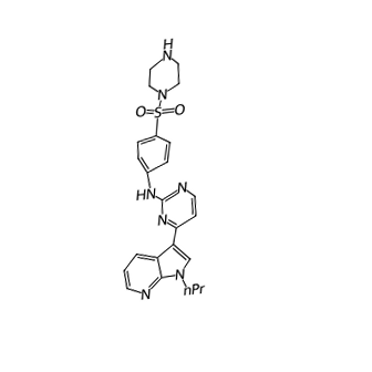 CCCn1cc(-c2ccnc(Nc3ccc(S(=O)(=O)N4CCNCC4)cc3)n2)c2cccnc21